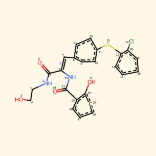 O=C(NCCO)/C(=C/c1ccc(Sc2ccccc2Cl)cc1)NC(=O)c1ccccc1O